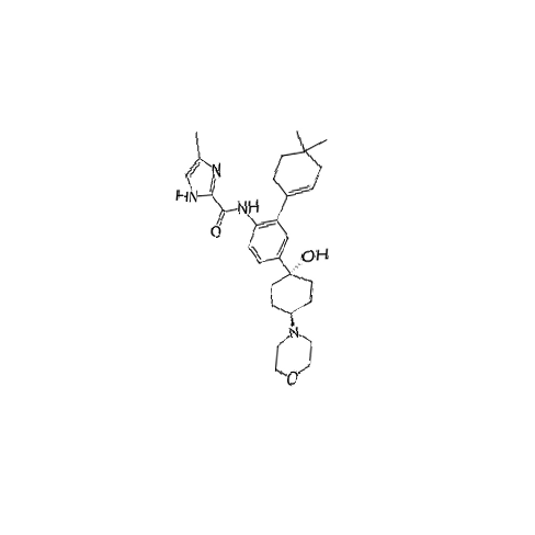 Cc1c[nH]c(C(=O)Nc2ccc([C@]3(O)CC[C@H](N4CCOCC4)CC3)cc2C2=CCC(C)(C)CC2)n1